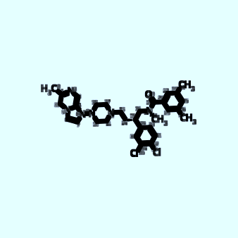 CC1=NC=C2N(C=CN2N2CCN(CC[C@H](CN(C)C(=O)c3cc(C)cc(C)c3)c3ccc(Cl)c(Cl)c3)CC2)C1